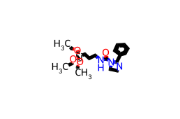 CCO[Si](CCCNC(=O)N1CC=NC1c1ccccc1)(OCC)OCC